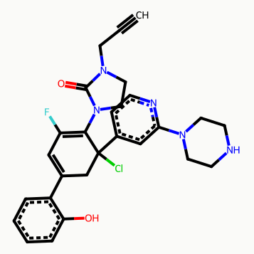 C#CCN1CCN(C2=C(F)C=C(c3ccccc3O)CC2(Cl)c2ccnc(N3CCNCC3)c2)C1=O